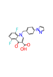 O=C(O)c1cn(Cc2ccc(-n3cccn3)cc2)c2c(F)ccc(F)c2c1=O